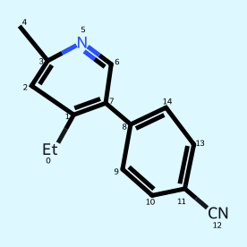 CCc1cc(C)ncc1-c1ccc(C#N)cc1